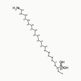 CCC(CCCCCCCCCCCCCCCCCCCCCCN)[SiH](O)O